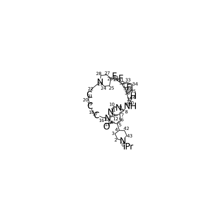 CC(C)N1CCC(c2cc3c4ncnc3n(c2=O)CCCCCCCN2CCC(CC2)C(F)(F)c2cccc(c2F)[C@@H](C)N4)CC1